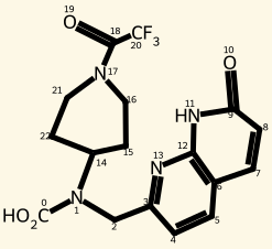 O=C(O)N(Cc1ccc2ccc(=O)[nH]c2n1)C1CCN(C(=O)C(F)(F)F)CC1